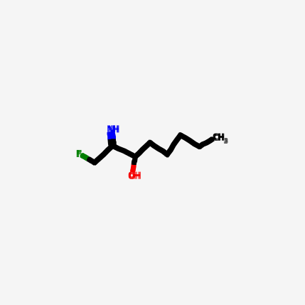 CCCCCC(O)C(=N)CF